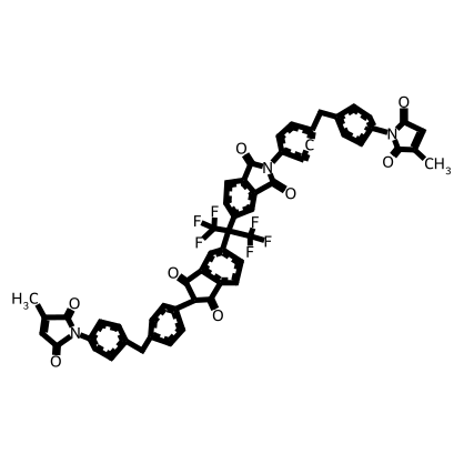 CC1=CC(=O)N(c2ccc(Cc3ccc(C4C(=O)c5ccc(C(c6ccc7c(c6)C(=O)N(c6ccc(Cc8ccc(N9C(=O)C=C(C)C9=O)cc8)cc6)C7=O)(C(F)(F)F)C(F)(F)F)cc5C4=O)cc3)cc2)C1=O